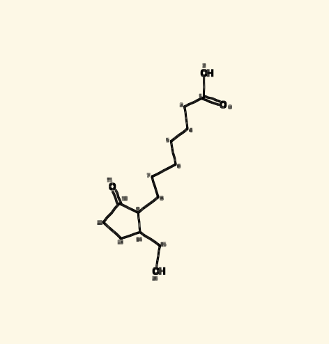 O=C(O)CCCCCCC1C(=O)CCC1CO